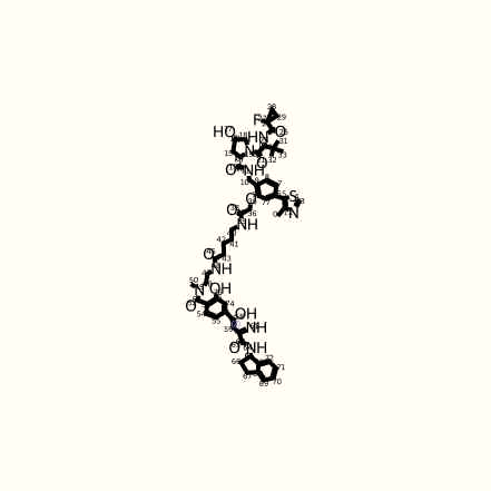 Cc1ncsc1-c1ccc(CNC(=O)[C@@H]2C[C@@H](O)CN2C(=O)[C@@H](NC(=O)C2(F)CC2)C(C)(C)C)c(OCC(=O)NCCCCC(=O)NCCN(C)C(=O)c2ccc(/C(O)=C/C(=N)C(=O)N[C@@H]3CCc4ccccc43)cc2O)c1